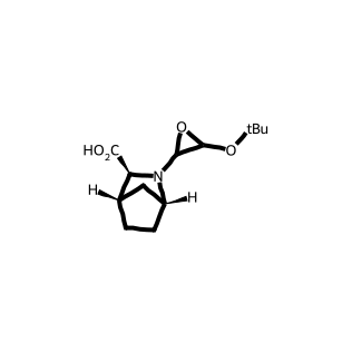 CC(C)(C)OC1OC1N1[C@@H]2CC[C@@H](C2)[C@H]1C(=O)O